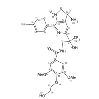 COc1cc(C(=O)NCC(O)(c2cc3c(c(-c4ccc(F)cc4)n2)N(C)CC3(C)N)C(F)(F)F)cc(OC)c1OCCO